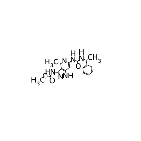 COC(=O)Nc1n[nH]c2cc(NC(=O)N[C@H](C)c3ccccc3)nc(C)c12